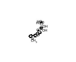 COc1ccccc1-c1ccnc(Cn2c(=O)ccn([C@@H]3O[C@H](COP(=O)(O)O)[C@H](O)C3O)c2=O)c1